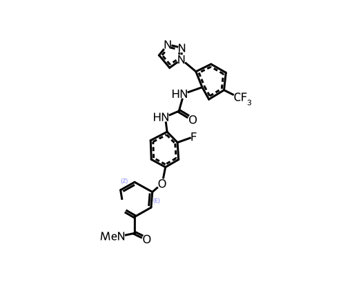 C=C(/C=C(\C=C/C)Oc1ccc(NC(=O)Nc2cc(C(F)(F)F)ccc2-n2ccnn2)c(F)c1)C(=O)NC